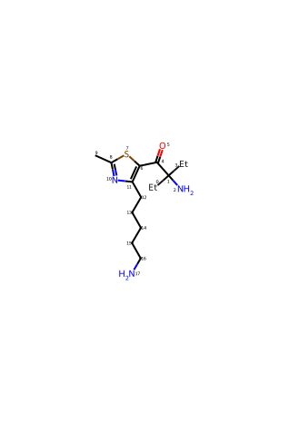 CCC(N)(CC)C(=O)c1sc(C)nc1CCCCCN